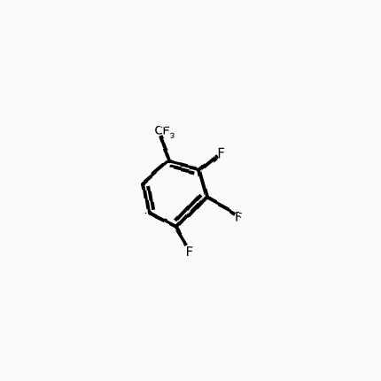 Fc1[c]cc(C(F)(F)F)c(F)c1F